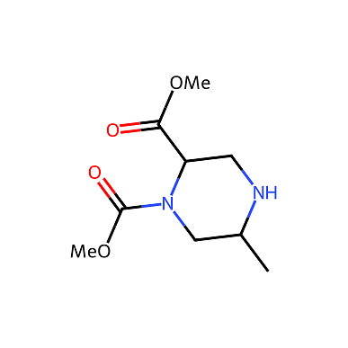 COC(=O)C1CNC(C)CN1C(=O)OC